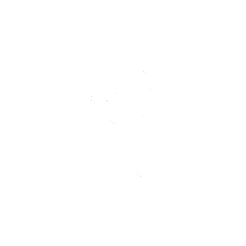 Cc1cnccc1-c1cc2cnccc2c(N)n1